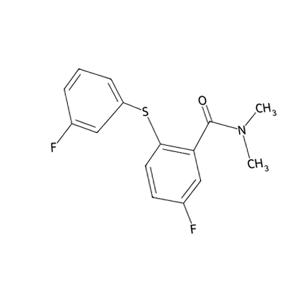 CN(C)C(=O)c1cc(F)ccc1Sc1cccc(F)c1